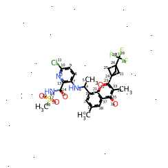 Cc1cc(C(C)Nc2ccc(Cl)nc2C(=O)NS(C)(=O)=O)c2oc(C34CC(C(F)(F)F)(C3)C4)c(C)c(=O)c2c1